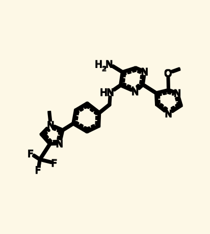 COc1ncncc1-c1ncc(N)c(NCc2ccc(-c3nc(C(F)(F)F)cn3C)cc2)n1